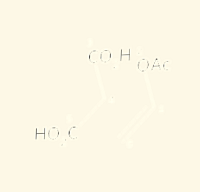 C=COC(C)=O.O=C(O)CC(=O)O